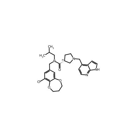 CC(C)CN(Cc1cc(Cl)c2c(c1)OCCCO2)C(=O)[C@@H]1CCN(Cc2ccnc3[nH]ccc23)C1